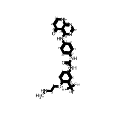 CNCCOc1ccc(NC(=O)Nc2ccc(Nc3ncnc4[nH]ccc(=O)c34)cc2)cc1C(F)(F)F